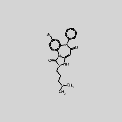 CN(C)CCCN1NC2=CC(=O)N(c3ccccc3)c3cc(Br)ccc3N2C1=O